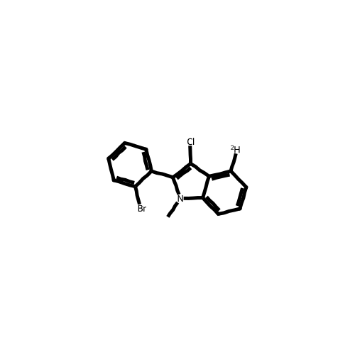 [2H]c1cccc2c1c(Cl)c(-c1ccccc1Br)n2C